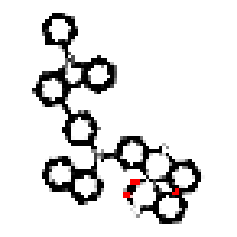 c1ccc(-n2c3ccccc3c3c(-c4ccc(N(c5ccc6c(c5)[Si]5(c7ccccc7Oc7ccccc75)c5ccccc5O6)c5cccc6ccccc56)cc4)cccc32)cc1